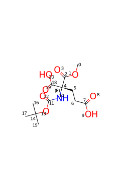 COC(=O)[C@](CCC(=O)O)(NC(=O)OC(C)(C)C)C(=O)O